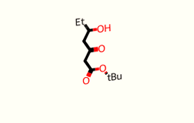 CCC(O)CC(=O)CC(=O)OC(C)(C)C